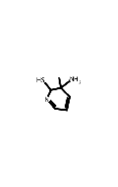 CC1(N)C=CC=NC1S